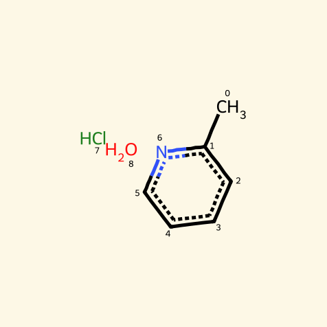 Cc1ccccn1.Cl.O